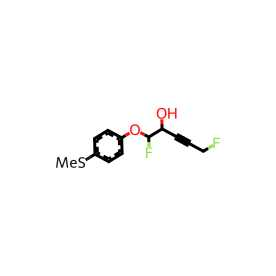 CSc1ccc(OC(F)C(O)C#CCF)cc1